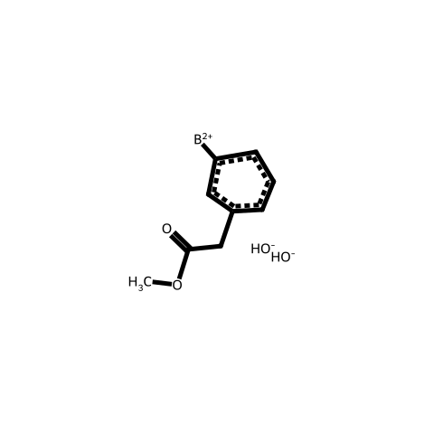 [B+2]c1cccc(CC(=O)OC)c1.[OH-].[OH-]